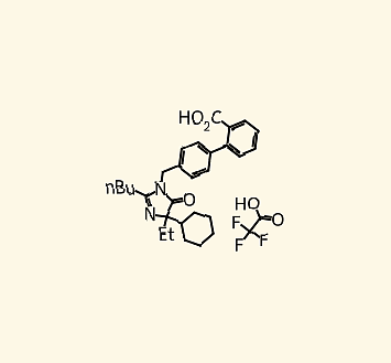 CCCCC1=NC(CC)(C2CCCCC2)C(=O)N1Cc1ccc(-c2ccccc2C(=O)O)cc1.O=C(O)C(F)(F)F